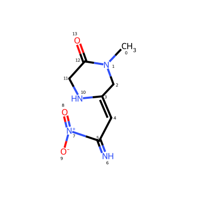 CN1C/C(=C/C(=N)[N+](=O)[O-])NCC1=O